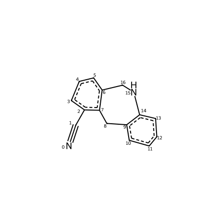 N#Cc1cccc2c1Cc1ccccc1NC2